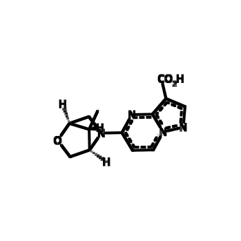 C[C@H]1[C@@H]2CN(c3ccn4ncc(C(=O)O)c4n3)[C@H]1CO2